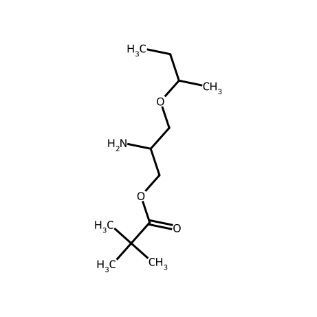 CCC(C)OCC(N)COC(=O)C(C)(C)C